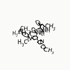 CCN(c1cc(-c2ccc(COC)nc2)cc(C(=O)NCc2c(Cl)[nH]c(C)cc2=O)c1C)[C@H]1CC[C@H](N(C)C)CC1